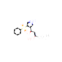 O=C(O)/C(O)=C/C(=O)c1c[nH]cc1S(=O)(=O)c1ccccc1